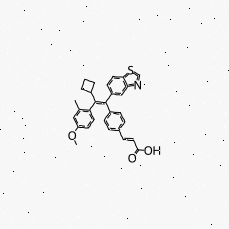 COc1ccc(/C(=C(\c2ccc(/C=C/C(=O)O)cc2)c2ccc3scnc3c2)C2CCC2)c(C)c1